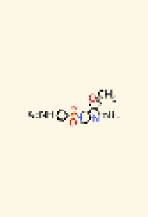 CCCCc1nc2c(c3c1C[C@H](C)OC3)CN(S(=O)(=O)c1ccc(NC(C)=O)cc1)CC2